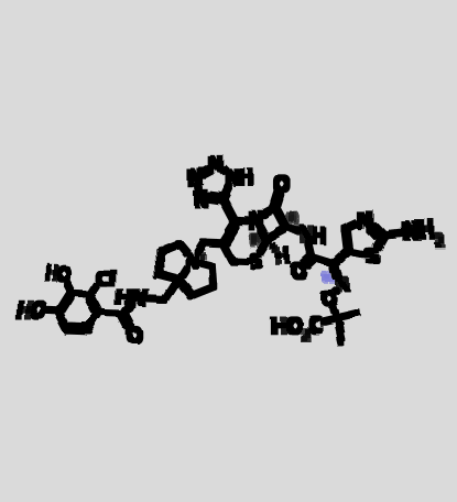 CC(C)(O/N=C(\C(=O)N[C@@H]1C(=O)N2C(c3nnn[nH]3)=C(C[N+]34CCCC3(CNC(=O)c3ccc(O)c(O)c3Cl)CCC4)CS[C@H]12)c1cnc(N)s1)C(=O)O